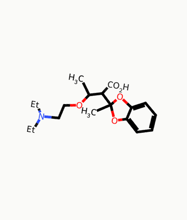 CCN(CC)CCOC(C)C(C(=O)O)C1(C)Oc2ccccc2O1